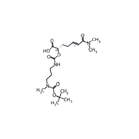 CN(C)C(=O)/C=C/CC[C@H](OC(=O)NCCCN(C)C(=O)OC(C)(C)C)C(=O)O